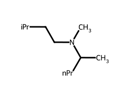 CCCC(C)N(C)CCC(C)C